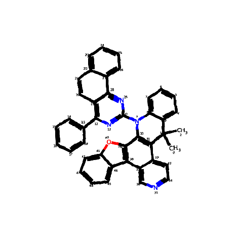 CC1(C)c2ccccc2N(c2nc(-c3ccccc3)c3ccc4ccccc4c3n2)c2c1c1ccncc1c1c2oc2ccccc21